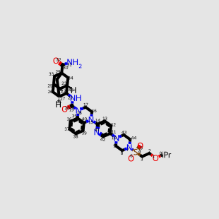 CC(C)OCCS(=O)(=O)N1CCN(c2ccc(N3CCN(C(=O)NC4[C@@H]5CC6C[C@H]4CC(C(N)=O)(C6)C5)c4ccccc43)nc2)CC1